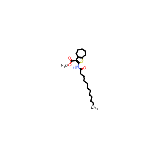 CCCCCCCCCCCC(=O)Nc1sc2c(c1C(=O)OC)CCCCC2